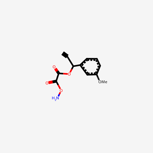 C#CC(OC(=O)C(=O)ON)c1cccc(OC)c1